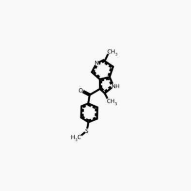 CSc1ccc(C(=O)c2c(C)[nH]c3cc(C)ncc23)cc1